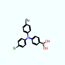 CCC(C)c1ccc(N(c2ccc(Br)cc2)c2ccc(B(O)O)cc2)cc1